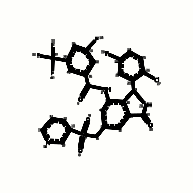 O=C(Nc1cc(CS(=O)(=O)c2cccnc2)cc2c1C(c1cc(F)ccc1Cl)NC2=O)c1cc(F)cc(C(F)(F)F)c1